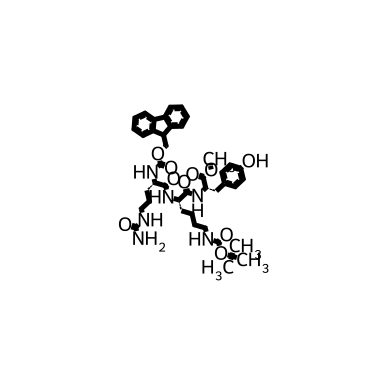 COC(=O)[C@H](Cc1ccc(O)cc1)NC(=O)[C@H](CCCCNC(=O)OC(C)(C)C)NC(=O)[C@H](CCCNC(N)=O)NC(=O)OCC1c2ccccc2-c2ccccc21